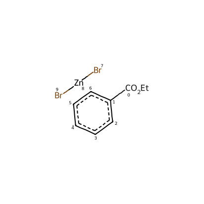 CCOC(=O)c1cc[c]cc1.[Br][Zn][Br]